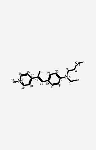 CCN(CCSC)c1ccc(/C=C(\C)c2cc[n+](C)cc2)cc1